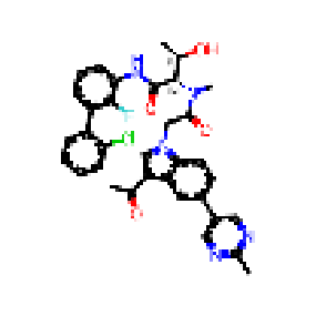 CC(=O)c1cn(CC(=O)N(C)[C@H](C(=O)Nc2cccc(-c3ccccc3Cl)c2F)[C@@H](C)O)c2ccc(-c3cnc(C)nc3)cc12